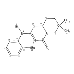 CCN(C1=NC(=O)C2CC(C)(C)CCC2S1)c1ccccc1C(C)(C)C